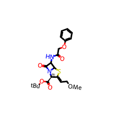 COCC=C1SC2C(NC(=O)COc3ccccc3)C(=O)N2[C@@H]1C(=O)OC(C)(C)C